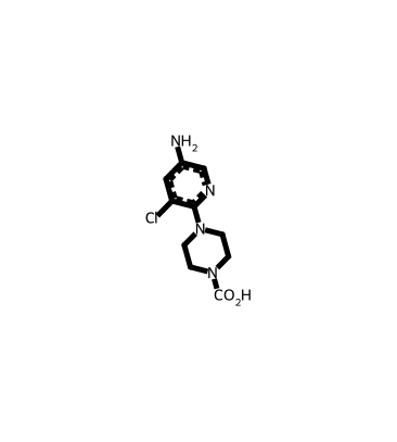 Nc1cnc(N2CCN(C(=O)O)CC2)c(Cl)c1